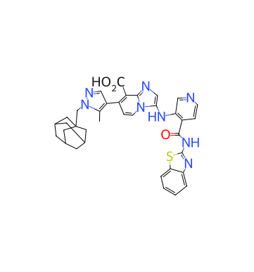 Cc1c(-c2ccn3c(Nc4cnccc4C(=O)Nc4nc5ccccc5s4)cnc3c2C(=O)O)cnn1CC12CC3CC(CC(C3)C1)C2